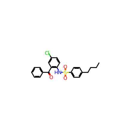 CCCCc1ccc(S(=O)(=O)Nc2ccc(Cl)cc2C(=O)c2ccccc2)cc1